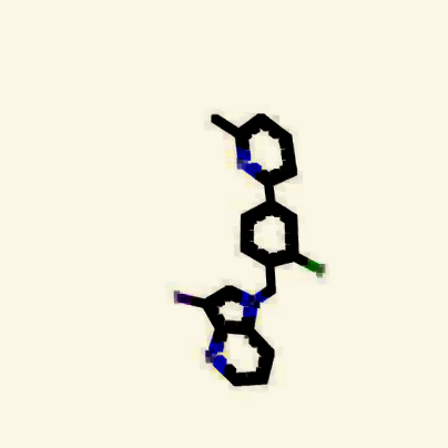 Cc1cccc(-c2ccc(Cn3cc(I)c4ncccc43)c(F)c2)n1